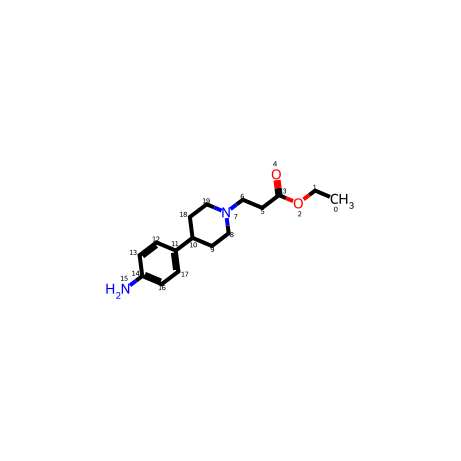 CCOC(=O)CCN1CCC(c2ccc(N)cc2)CC1